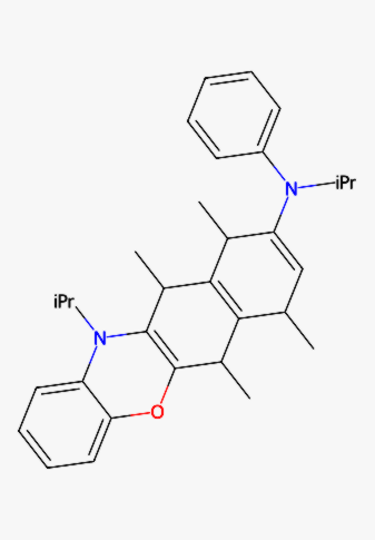 CC1C=C(N(c2ccccc2)C(C)C)C(C)C2=C1C(C)C1=C(C2C)N(C(C)C)c2ccccc2O1